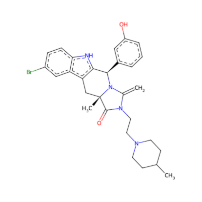 C=C1N(CCN2CCC(C)CC2)C(=O)[C@]2(C)Cc3c([nH]c4ccc(Br)cc34)[C@@H](c3cccc(O)c3)N12